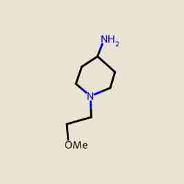 COCCN1CCC(N)CC1